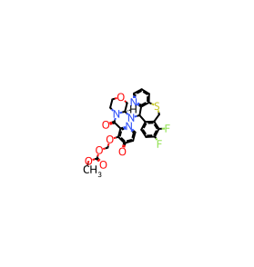 COC(=O)OCOc1c2n(ccc1=O)N(C1c3ccc(F)c(F)c3CSc3cccnc31)[C@@H]1COCCN1C2=O